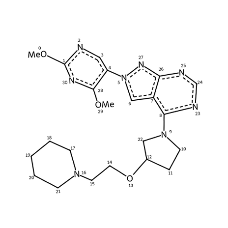 COc1ncc(-n2cc3c(N4CCC(OCCN5CCCCC5)C4)ncnc3n2)c(OC)n1